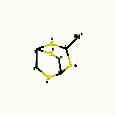 [3H][C]1SC2CSC(CS2)S1